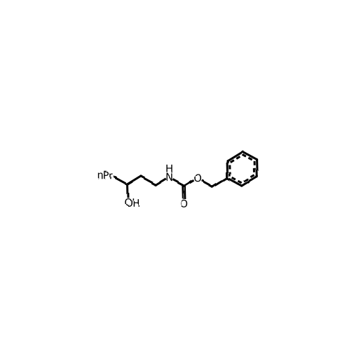 CCCC(O)CCNC(=O)OCc1ccccc1